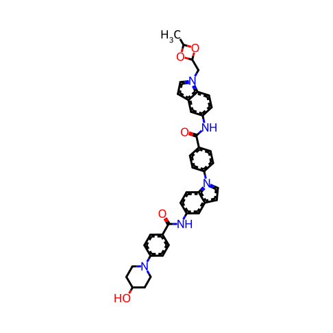 CC1OC(Cn2ccc3cc(NC(=O)c4ccc(-n5ccc6cc(NC(=O)c7ccc(N8CCC(O)CC8)cc7)ccc65)cc4)ccc32)O1